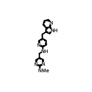 CNc1ncc(CNc2ccc(Cc3c[nH]c4ncccc34)cn2)cn1